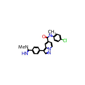 CNC(=N)c1ccc(-c2cnn3ccc(C(=O)N(C)c4ccc(Cl)cc4)cc23)cc1